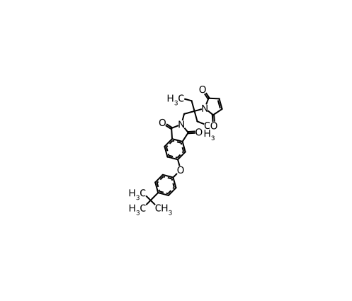 CCC(CC)(CN1C(=O)c2ccc(Oc3ccc(C(C)(C)C)cc3)cc2C1=O)N1C(=O)C=CC1=O